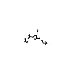 CC(C)(O)[C@H](F)CNC(=O)c1cnc(-c2cnn3cc(Cl)cnc23)cc1NCCC(F)(F)F